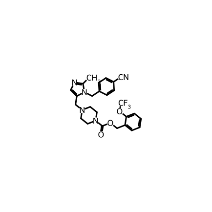 Cc1ncc(CN2CCN(C(=O)OCc3ccccc3OC(F)(F)F)CC2)n1Cc1ccc(C#N)cc1